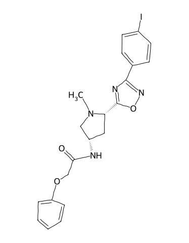 CN1C[C@@H](NC(=O)COc2ccccc2)C[C@H]1c1nc(-c2ccc(I)cc2)no1